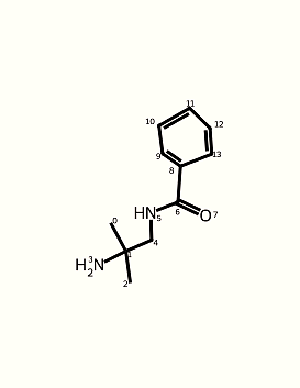 CC(C)(N)CNC(=O)c1ccccc1